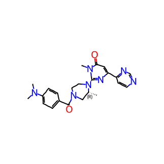 C[C@@H]1CN(C(=O)c2ccc(N(C)C)cc2)CCN1c1nc(-c2ccncn2)cc(=O)n1C